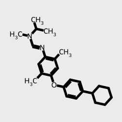 Cc1cc(Oc2ccc(C3CCCCC3)cc2)c(C)cc1N=CN(C)C(C)C